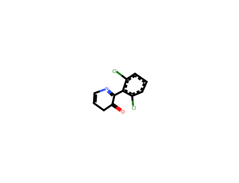 O=C1C[C]=CN=C1c1c(Cl)cccc1Cl